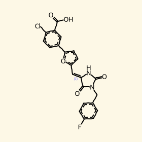 O=C(O)c1cc(-c2ccc(/C=C3\NC(=O)N(Cc4ccc(F)cc4)C3=O)o2)ccc1Cl